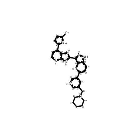 Fc1ccc(-c2ccnc3[nH]c(-c4n[nH]c5ccc(-c6cncc(CN7CCCCC7)c6)nc45)nc23)s1